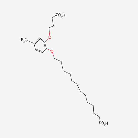 O=C(O)CCCCCCCCCCCCOc1ccc(C(F)(F)F)cc1OCCCC(=O)O